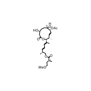 COCCN(C)C(=O)OC[C@@H](C)/C=C/C=C(\C)[C@H]1OC(=O)C[C@@H](O)CC[C@](C)(O)[C@H](OC(C)=O)/C=C/[C@@H]1C